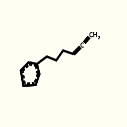 C=C=CCCCc1ccccc1